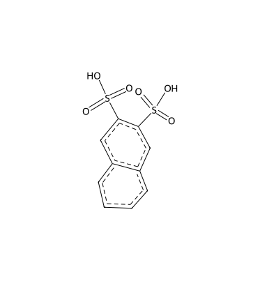 O=S(=O)(O)c1cc2ccccc2cc1S(=O)(=O)O